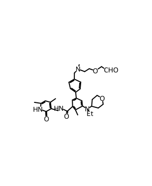 CCN(c1cc(-c2ccc(CN(C)CCOCC=O)cc2)cc(C(=O)NCc2c(C)cc(C)[nH]c2=O)c1C)C1CCOCC1